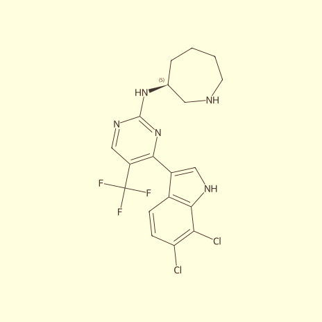 FC(F)(F)c1cnc(N[C@H]2CCCCNC2)nc1-c1c[nH]c2c(Cl)c(Cl)ccc12